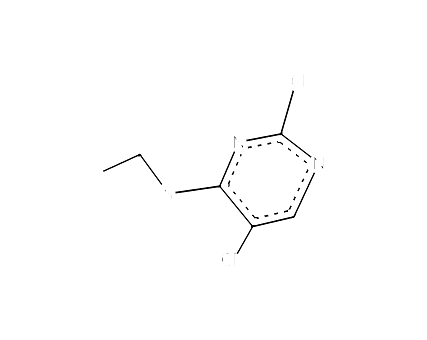 CCSc1nc(Cl)ncc1Cl